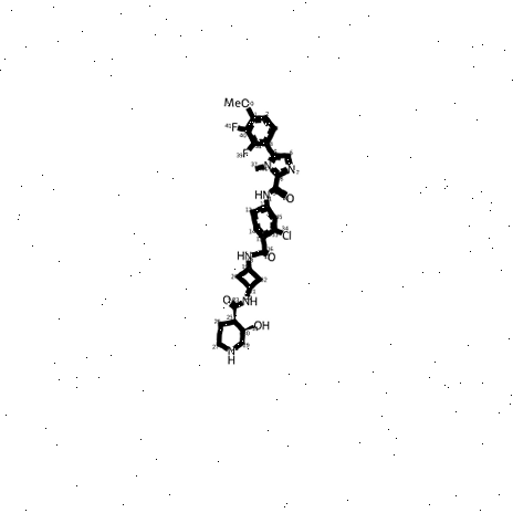 COc1ccc(-c2cnc(C(=O)Nc3ccc(C(=O)NC4CC(NC(=O)[C@@H]5CCNC[C@@H]5O)C4)c(Cl)c3)n2C)c(F)c1F